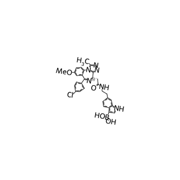 COc1ccc2c(c1)C(c1ccc(Cl)cc1)=N[C@@H](CC(=O)NCCc1ccc3c(B(O)O)c[nH]c3c1)c1nnc(C)n1-2